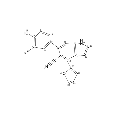 N#Cc1c(-c2ccc(O)c(F)c2)cc2[nH]ncc2c1-c1ccco1